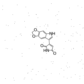 O=C1C=C(c2c[nH]c3cc4c(cc23)OCO4)C(=O)N1